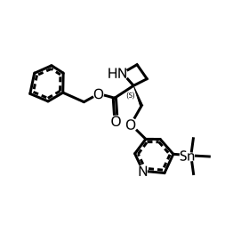 [CH3][Sn]([CH3])([CH3])[c]1cncc(OC[C@]2(C(=O)OCc3ccccc3)CCN2)c1